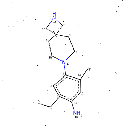 CCc1cc(N2CCC3(CC2)CNC3)c(C)cc1N